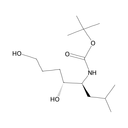 CC(C)C[C@H](NC(=O)OC(C)(C)C)[C@H](O)CCCO